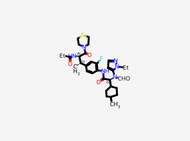 CCC(=O)N[C@@H](C(=O)N1CCSCC1)[C@@H](C)c1ccc(NC(=O)[C@H](C2CCC(C)CC2)N(C=O)c2ccnn2CC)c(F)c1